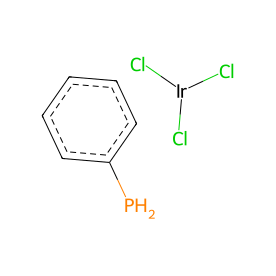 Pc1ccccc1.[Cl][Ir]([Cl])[Cl]